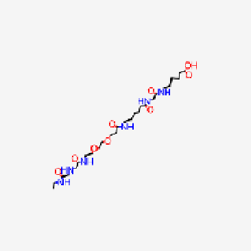 CCNC(=O)CNCC(=O)NCCOCCOCCC(=O)NCCCCCC(=O)NCC(=O)NCCCCCC(=O)O